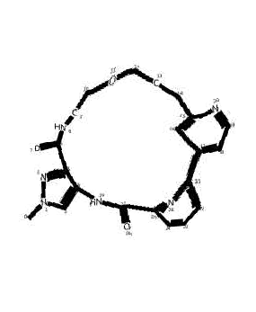 Cn1cc2c(n1)C(=O)NCCOCCCc1cc(ccn1)-c1cccc(n1)C(=O)N2